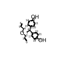 C=CCOCC=C.CC(c1ccc(O)cc1)c1ccc(O)cc1